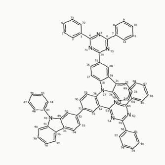 c1ccc(-c2nc(-c3ccccc3)nc(-c3ccc4c(c3)c3ccccc3n4-c3ccc(-c4ccc5c6ccccc6n(-c6ccccc6)c5c4)cc3-c3nc(-c4ccccc4)nc(-c4ccccc4)n3)n2)cc1